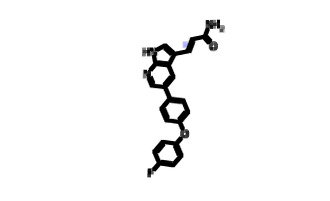 NC(=O)/C=C/c1c[nH]c2ncc(-c3ccc(Oc4ccc(F)cc4)cc3)cc12